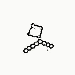 C1=Cc2cc3ccc(cc4nc(cc5ccc(cc1n2)[nH]5)C=C4)[nH]3.[Pt][c]1cccc2cc3cc4ccc5cc6cc7cc8ccccc8cc7cc6cc5c4cc3cc12